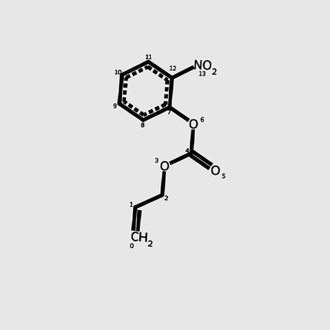 C=CCOC(=O)Oc1ccccc1[N+](=O)[O-]